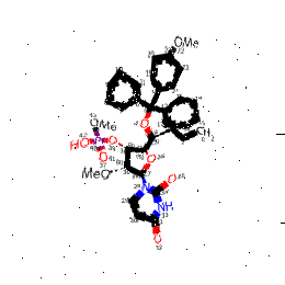 C=CC[C@H](OC(c1ccccc1)(c1ccccc1)c1ccc(OC)cc1)[C@@H]1O[C@@H](n2ccc(=O)[nH]c2=O)[C@H](OC)[C@@H]1OP(=O)(O)OC